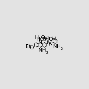 CCOc1ccc2nc3cc(N=Nc4c(N)cccc4O)ccc3c(N)c2c1.O.O=S(=O)(O)O